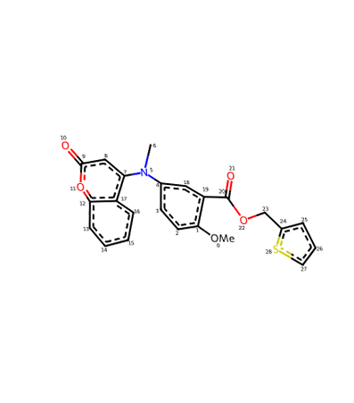 COc1ccc(N(C)c2cc(=O)oc3ccccc23)cc1C(=O)OCc1cccs1